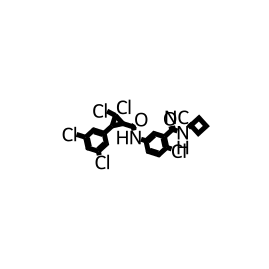 N#CC1(NC(=O)c2cc(NC(=O)C3C(c4cc(Cl)cc(Cl)c4)C3(Cl)Cl)ccc2Cl)CCC1